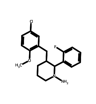 COc1ccc(Cl)cc1CC1CCCN(N)C1c1ccccc1F